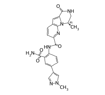 C[C@@H]1CNC(=O)c2cc3ccc(C(=O)Nc4ccc(-c5cnn(C)c5)cc4S(N)(=O)=O)nc3n21